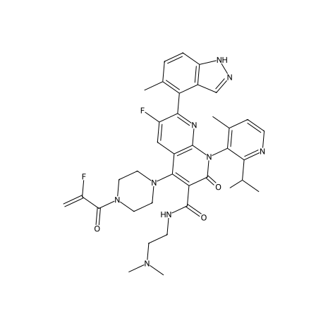 C=C(F)C(=O)N1CCN(c2c(C(=O)NCCN(C)C)c(=O)n(-c3c(C)ccnc3C(C)C)c3nc(-c4c(C)ccc5[nH]ncc45)c(F)cc23)CC1